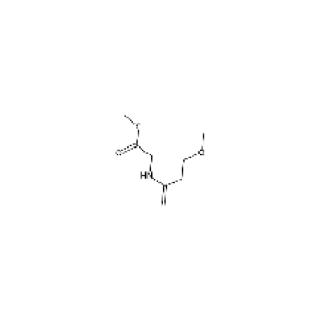 C=C(CCOC)NCC(=O)OC